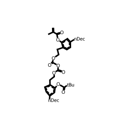 C=C(C)C(=O)Oc1cc(CCCCCCCCCC)ccc1CCOC(=O)OC(=O)OCCc1ccc(CCCCCCCCCC)cc1OC(=O)C(C)(C)C